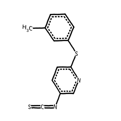 Cc1cccc(Sc2ccc(N=C=S)cn2)c1